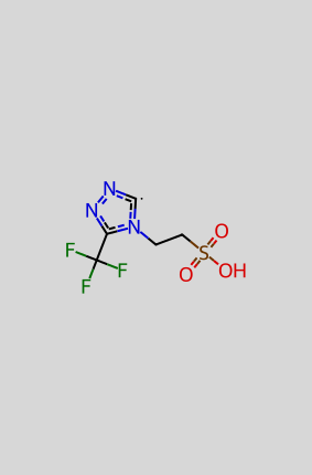 O=S(=O)(O)CCn1[c]nnc1C(F)(F)F